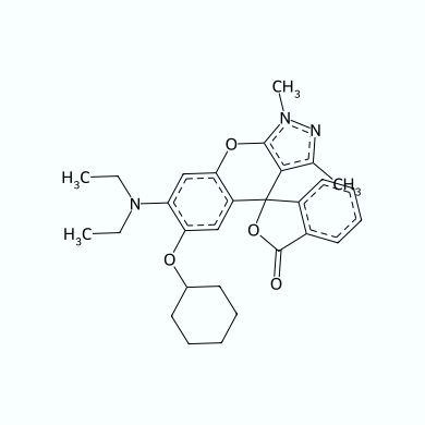 CCN(CC)c1cc2c(cc1OC1CCCCC1)C1(OC(=O)c3ccccc31)c1c(C)nn(C)c1O2